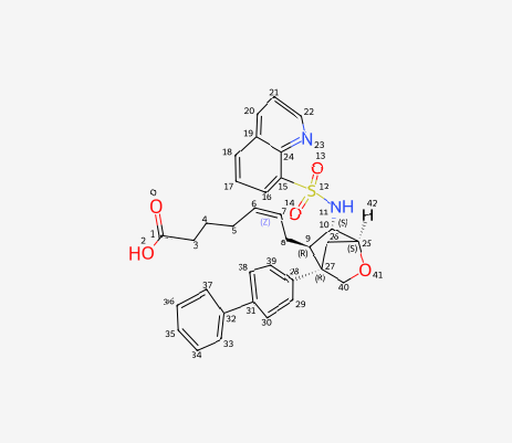 O=C(O)CCC/C=C\C[C@H]1[C@H](NS(=O)(=O)c2cccc3cccnc23)[C@@H]2C[C@@]1(c1ccc(-c3ccccc3)cc1)CO2